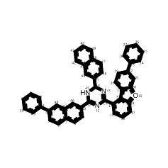 c1ccc(-c2ccc3ccc(C4=NC(c5cccc6oc7cc(-c8ccccc8)ccc7c56)=NC(c5ccc6ccccc6c5)N4)cc3c2)cc1